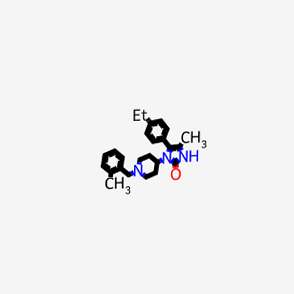 CCc1ccc(-c2c(C)[nH]c(=O)n2C2CCN(Cc3ccccc3C)CC2)cc1